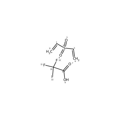 C=CS(=O)(=O)C=C.O=C(O)C(F)(F)F